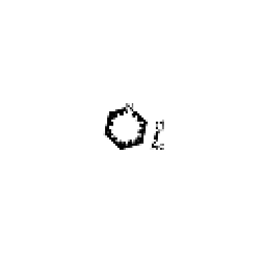 CC(=O)Cl.c1ccncc1